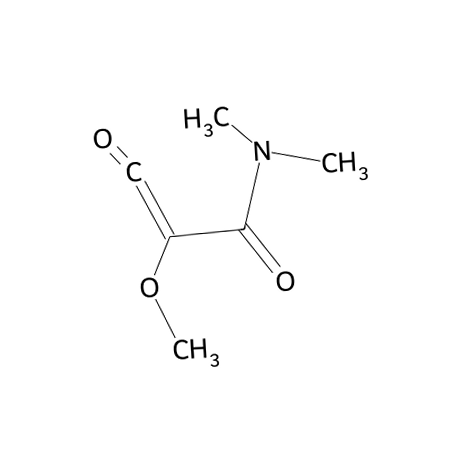 COC(=C=O)C(=O)N(C)C